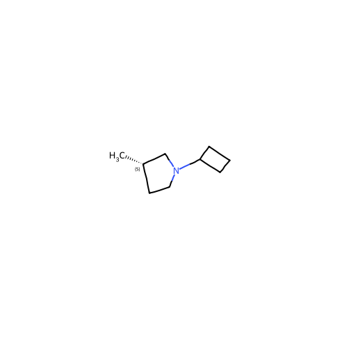 C[C@H]1CCN(C2CCC2)C1